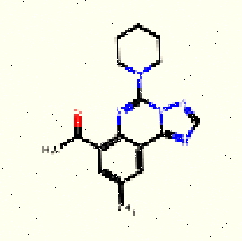 CC(=O)c1cc(C)cc2c1nc(N1CCCCC1)n1ncnc21